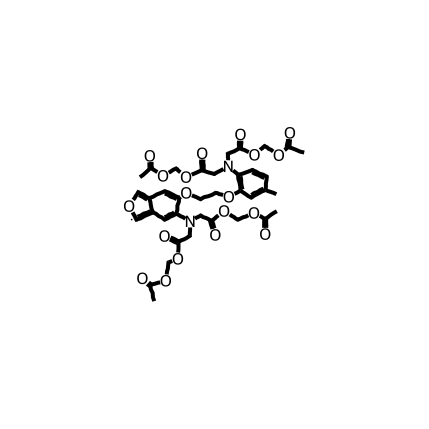 CC(=O)OCOC(=O)CN(CC(=O)OCOC(C)=O)c1ccc(C)cc1OCCOc1cc2co[c]c2cc1N(CC(=O)OCOC(C)=O)CC(=O)OCOC(C)=O